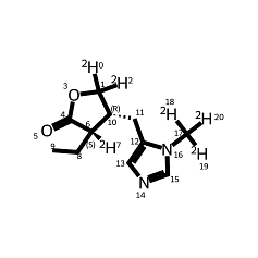 [2H]C1([2H])OC(=O)[C@@]([2H])(CC)[C@H]1Cc1cncn1C([2H])([2H])[2H]